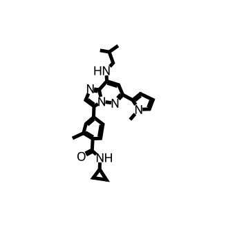 Cc1cc(-c2cnc3c(NCC(C)C)cc(-c4cccn4C)nn23)ccc1C(=O)NC1CC1